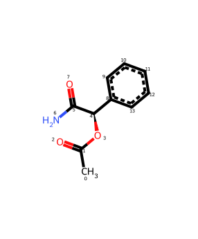 CC(=O)O[C@@H](C(N)=O)c1ccccc1